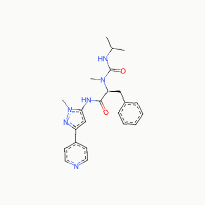 CC(C)NC(=O)N(C)[C@@H](Cc1ccccc1)C(=O)Nc1cc(-c2ccncc2)nn1C